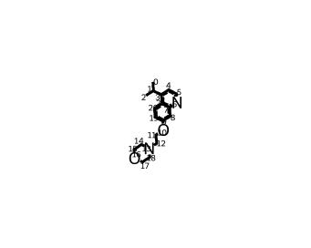 CC(C)c1ccnc2cc(OCCN3CCOCC3)ccc12